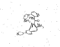 C[C@H]1[CH][C@@H](N)CN(c2ccncc2NC(=O)c2nc3cc(C4CCN(C)CC4)ccc3cc2N)C1